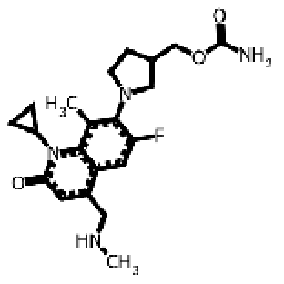 CNCc1cc(=O)n(C2CC2)c2c(C)c(N3CCC(COC(N)=O)C3)c(F)cc12